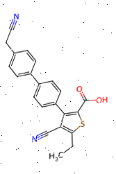 CCc1sc(C(=O)O)c(-c2ccc(-c3ccc(CC#N)cc3)cc2)c1C#N